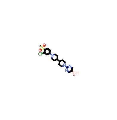 CBc1cnc(N2CCC(C3CCN(c4ccc(S(C)(=O)=O)c(Cl)c4)CC3)CC2)nc1